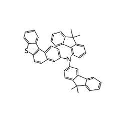 CC1(C)c2ccccc2-c2cc(N(c3ccc4c(ccc5sc6ccccc6c54)c3)c3cccc4c3-c3ccccc3C4(C)C)ccc21